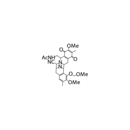 COCOc1c(OC)c(C)cc2c1C1C3CC4=C(C(=O)C(OC)=C(C)C4=O)C(CNC(C)=O)N3C(C#N)C(C2)N1C